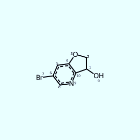 OC1COc2cc(Br)cnc21